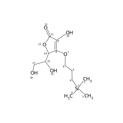 C[Si](C)(C)CCCOC1=C(O)C(=O)OC1C(O)CO